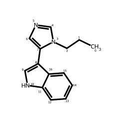 CCCn1cncc1-c1c[nH]c2ccccc12